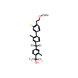 CCC(CC)(c1ccc(-c2ccc(CCOOC)c(F)c2)c(C)c1)c1ccc(C(O)(C(F)(F)F)C(F)(F)F)c(C)c1